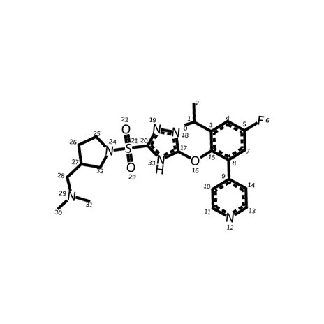 CC(C)c1cc(F)cc(-c2ccncc2)c1Oc1nnc(S(=O)(=O)N2CCC(CN(C)C)C2)[nH]1